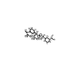 C=C(C)c1cccc(C(C)(CCCCC)OOC(C)(CCCCC)c2cccc(C(=C)C)c2)c1